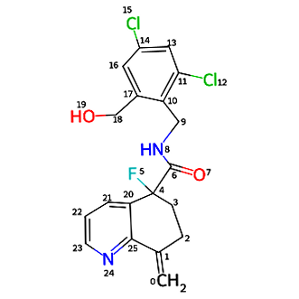 C=C1CCC(F)(C(=O)NCc2c(Cl)cc(Cl)cc2CO)c2cccnc21